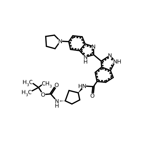 CC(C)(C)OC(=O)N[C@H]1CC[C@H](NC(=O)c2ccc3[nH]nc(-c4nc5ccc(N6CCCC6)cc5[nH]4)c3c2)C1